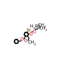 C=CCc1c(C(=O)OCc2ccccc2)ccc(Br)c1OCOCC[Si](C)(C)C